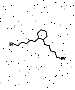 CC(C)CCCCCC1CCCCC1CCCCCC(C)C